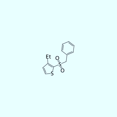 CCc1ccsc1S(=O)(=O)Cc1ccccc1